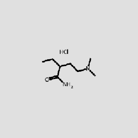 CCC(CCN(C)C)C(N)=O.Cl